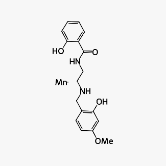 COc1ccc(CNCCNC(=O)c2ccccc2O)c(O)c1.[Mn]